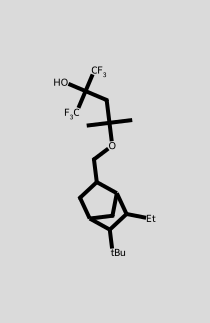 CCC1C2CC(CC2COC(C)(C)CC(O)(C(F)(F)F)C(F)(F)F)C1C(C)(C)C